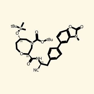 Cn1c(=O)oc2ccc(-c3ccc(C[C@@H](C#N)NC(=O)[C@@H]4CN(C(=O)OC(C)(C)C)C[C@@H](O[Si](C)(C)C(C)(C)C)CCO4)cc3)cc21